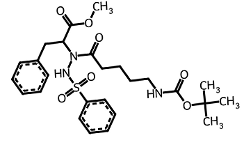 COC(=O)C(Cc1ccccc1)N(NS(=O)(=O)c1ccccc1)C(=O)CCCCNC(=O)OC(C)(C)C